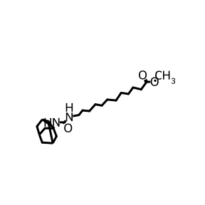 COC(=O)CCCCCCCCCCCNC(=O)NC12CC3CC(CC(C3)C1)C2